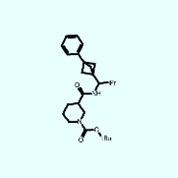 CC(C)C(NC(=O)C1CCCN(C(=O)OC(C)(C)C)C1)C12CC(c3ccccc3)(C1)C2